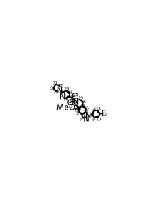 COC[C@]12Cc3cnn(-c4ccc(F)cc4)c3C=C1CCN(S(=O)(=O)c1ccc(N3CCCC3)nc1)C2